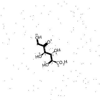 O=C(O)[C@@H](O)[C@@H](O)[C@@H](O)C(=O)CO